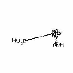 CCCCN(C(=O)CCCCCCCCCCCCCCCCCC(=O)O)c1ccccc1OCCCCS(=O)O